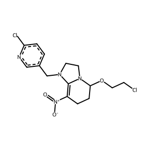 O=[N+]([O-])C1=C2N(Cc3ccc(Cl)nc3)CCN2C(OCCCl)CC1